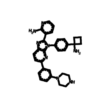 Nc1ncccc1-c1nc2ccc(-c3cccc(N4CCNCC4)c3)nc2n1-c1ccc(C2(N)CCC2)cc1